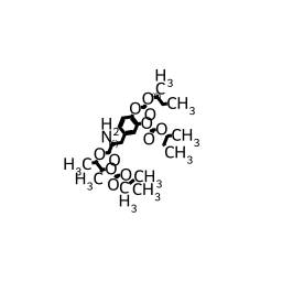 CCC(C)OC(=O)Oc1cc(C[C@H](N)C(=O)OC(C)C(C)OC(=O)OC(C)(C)C)ccc1OC(=O)O[C@@H](C)CC